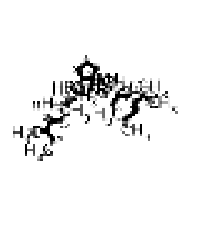 CC1CCCC1.CCC(C)CC.CCCC(C)C.CCCC(C)CC.CCCCC.CCCCC(C)C.CCCCCCC